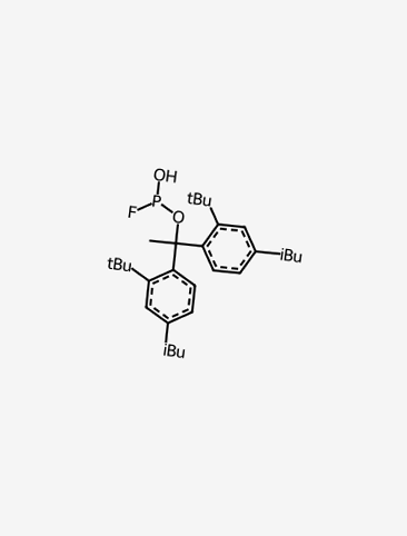 CCC(C)c1ccc(C(C)(OP(O)F)c2ccc(C(C)CC)cc2C(C)(C)C)c(C(C)(C)C)c1